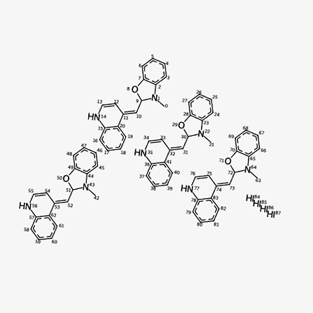 CN1c2ccccc2OC1C=C1C=CNc2ccccc21.CN1c2ccccc2OC1C=C1C=CNc2ccccc21.CN1c2ccccc2OC1C=C1C=CNc2ccccc21.CN1c2ccccc2OC1C=C1C=CNc2ccccc21.I.I.I.I